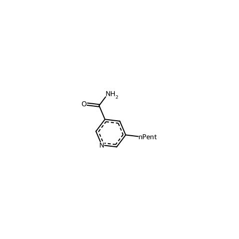 CCCCCc1cncc(C(N)=O)c1